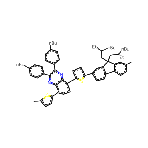 CCCCc1ccc(-c2nc3c(-c4ccc(C)s4)ccc(-c4ccc(-c5ccc6c(c5)C(CC(CC)CCCC)(CC(CC)CCCC)c5cc(C)ccc5-6)s4)c3nc2-c2ccc(CCCC)cc2)cc1